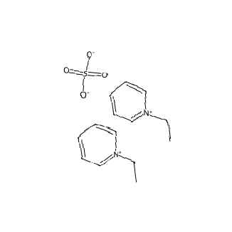 CC[n+]1ccccc1.CC[n+]1ccccc1.O=S(=O)([O-])[O-]